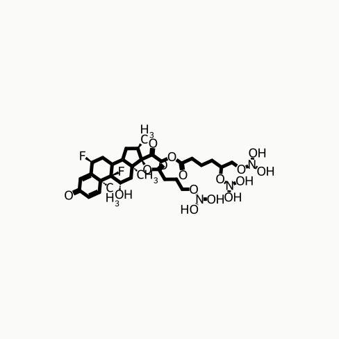 C[C@@H]1CC2C3C[C@H](F)C4=CC(=O)C=C[C@]4(C)[C@@]3(F)[C@@H](O)C[C@]2(C)[C@@]1(OC(=O)CCCON(O)O)C(=O)COC(=O)CCCC(CON(O)O)ON(O)O